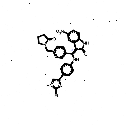 CCc1nc(-c2ccc(N/C(=C3\C(=O)Nc4ccc([N+](=O)[O-])cc43)c3ccc(CN4CCCC4=O)cc3)cc2)c[nH]1